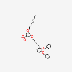 CCCCCCCCCCOc1cc(OCCCCCCc2cccc(OCc3ccccc3)c2OCc2ccccc2)cc(C(=O)OC)c1